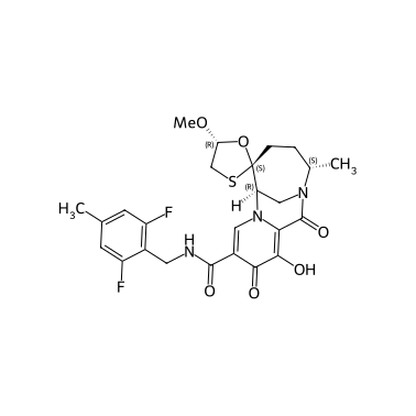 CO[C@H]1CS[C@]2(CC[C@H](C)N3C[C@H]2n2cc(C(=O)NCc4c(F)cc(C)cc4F)c(=O)c(O)c2C3=O)O1